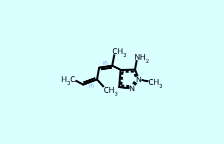 C/C=C(C)\C=C(\C)c1cnn(C)c1N